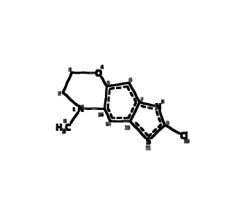 CN1CCOc2cc3nc(Cl)sc3cc21